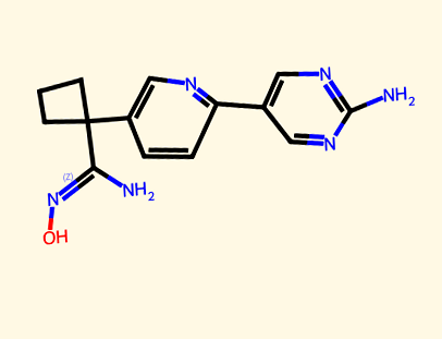 N/C(=N\O)C1(c2ccc(-c3cnc(N)nc3)nc2)CCC1